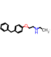 [CH2]CNCCOc1ccc(Cc2ccccc2)cc1